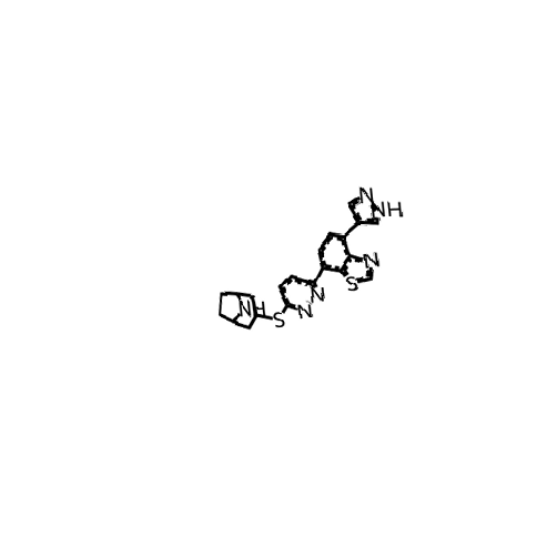 c1nc2c(-c3cn[nH]c3)ccc(-c3ccc(SC4CC5CCC(C4)N5)nn3)c2s1